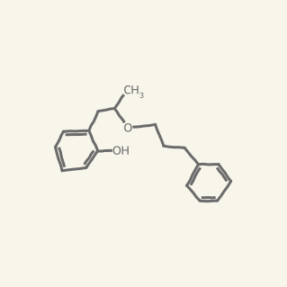 CC(Cc1ccccc1O)OCCCc1ccccc1